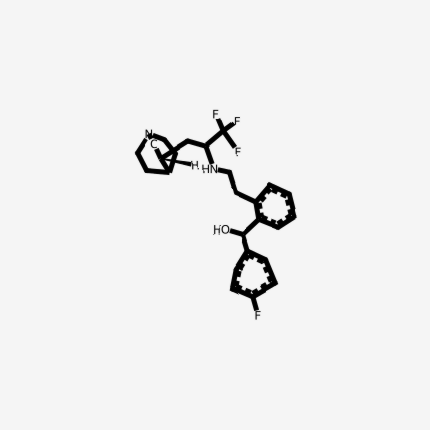 OC(c1ccc(F)cc1)c1ccccc1CCNC(C[C@H]1CN2CCC1CC2)C(F)(F)F